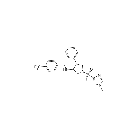 Cn1cnc(S(=O)(=O)N2CC(NCc3ccc(C(F)(F)F)cc3)C(c3ccccc3)C2)c1